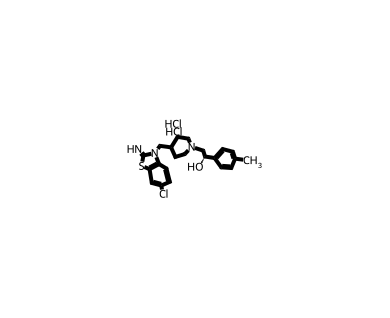 Cc1ccc([C@H](O)CN2CCC(Cn3c(=N)sc4cc(Cl)ccc43)CC2)cc1.Cl.Cl